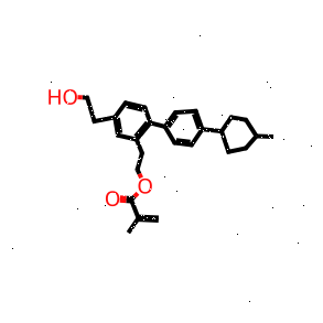 C=C(C)C(=O)OCCc1cc(CCO)ccc1-c1ccc(C2CCC(C)CC2)cc1